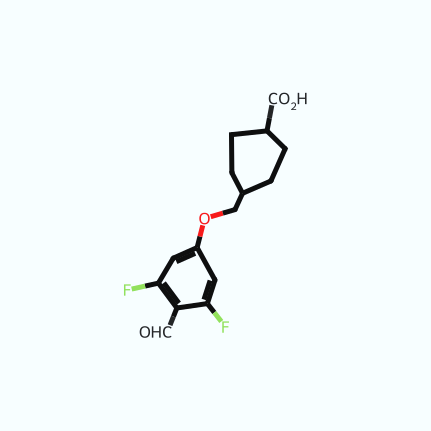 O=Cc1c(F)cc(OCC2CCC(C(=O)O)CC2)cc1F